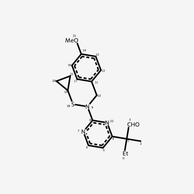 CCC(C)(C=O)c1ccnc(N(Cc2ccc(OC)cc2)SC2CC2)n1